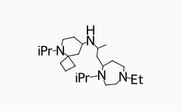 CCN1CCC(CC(C)NC2CCN(C(C)C)C3(CCC3)C2)N(C(C)C)CC1